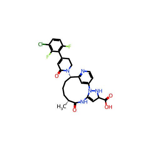 C[C@@H]1CCC[C@H](N2CCC(c3c(F)ccc(Cl)c3F)=CC2=O)c2cc(ccn2)N2NC(C(=O)O)C=C2NC1=O